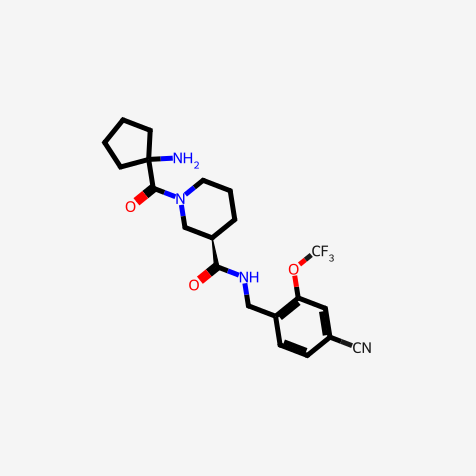 N#Cc1ccc(CNC(=O)[C@@H]2CCCN(C(=O)C3(N)CCCC3)C2)c(OC(F)(F)F)c1